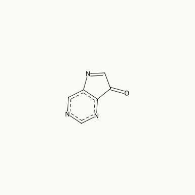 O=C1C=Nc2cncnc21